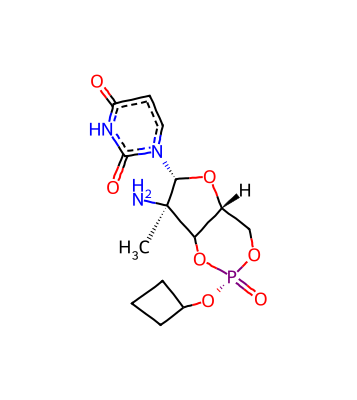 C[C@@]1(N)C2O[P@@](=O)(OC3CCC3)OC[C@H]2O[C@H]1n1ccc(=O)[nH]c1=O